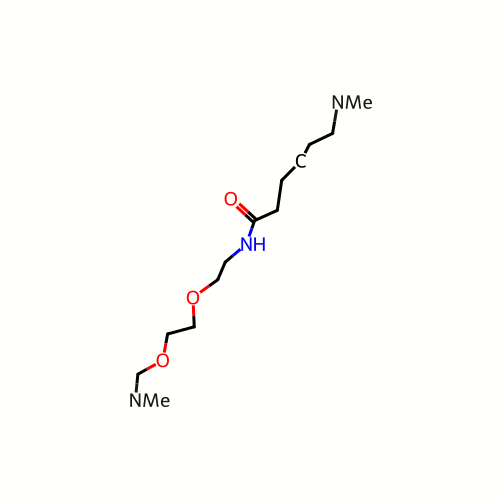 CNCCCCCC(=O)NCCOCCOCNC